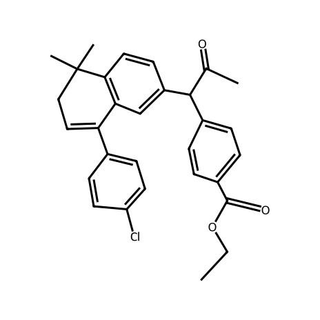 CCOC(=O)c1ccc(C(C(C)=O)c2ccc3c(c2)C(c2ccc(Cl)cc2)=CCC3(C)C)cc1